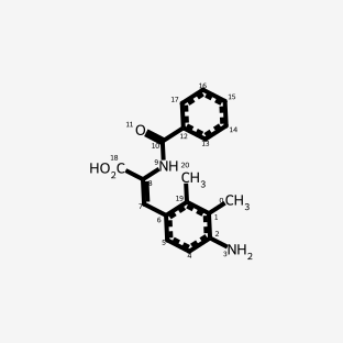 Cc1c(N)ccc(C=C(NC(=O)c2ccccc2)C(=O)O)c1C